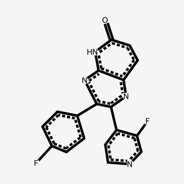 O=c1ccc2nc(-c3ccncc3F)c(-c3ccc(F)cc3)nc2[nH]1